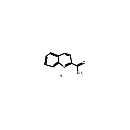 NC(=O)c1ccc2ccccc2n1.[N]